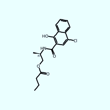 CCCC(=O)OC[C@@H](C)NC(=O)c1cc(Cl)c2ccccc2c1O